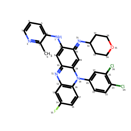 Cc1ncccc1Nc1cc2nc3cc(F)ccc3n(-c3ccc(Cl)c(Cl)c3)c-2c/c1=N\C1CCOCC1